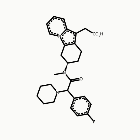 CN(C(=O)C(c1ccc(F)cc1)N1CCCCC1)[C@@H]1CCc2c(CC(=O)O)c3ccccn3c2C1